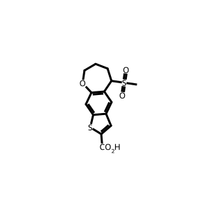 CS(=O)(=O)C1CCCOc2cc3sc(C(=O)O)cc3cc21